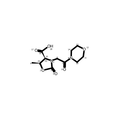 C[C@@H]1OC(=O)N(CC(=O)N2CCOCC2)[C@@H]1C(=O)O